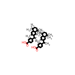 C=C(c1ccc(C(=O)O)cc1)c1cc2c(cc1C)C(C)(C)CCC2(C)C.C=C(c1ccc(C(=O)O)cc1)c1cc2c(cc1C)C(C)(C)CCC2(C)C